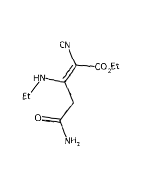 [C-]#[N+]/C(C(=O)OCC)=C(/CC(N)=O)NCC